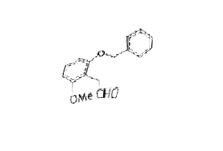 COc1cccc(OCc2ccccc2)c1CC=O